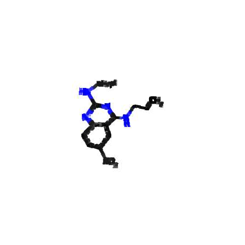 C=CCNc1nc(NCCCCCCC)nc2ccc([N+](=O)[O-])cc12